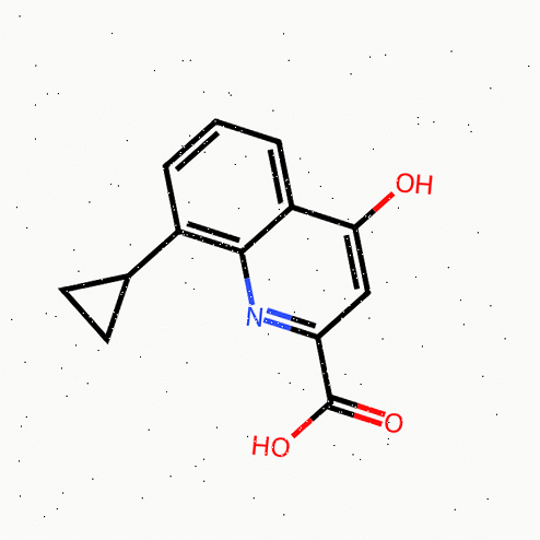 O=C(O)c1cc(O)c2cccc(C3CC3)c2n1